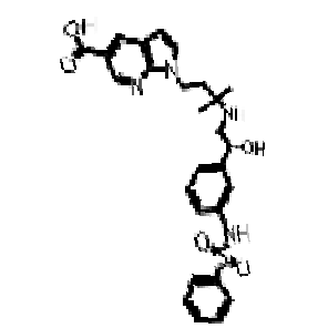 CC(C)(CCn1ccc2cc(C(=O)O)cnc21)NC[C@H](O)c1cccc(NS(=O)(=O)c2ccccc2)c1